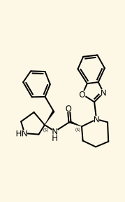 O=C(N[C@@]1(Cc2ccccc2)CCNC1)[C@@H]1CCCCN1c1nc2ccccc2o1